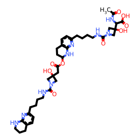 CC(=O)NC(C(=O)O)C1(O)CN(C(=O)NCCCCc2ccc3c(n2)NC(OC(=O)CC2(O)CN(C(=O)NCCCCc4ccc5c(n4)NCCC5)C2)CC3)C1